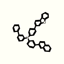 c1ccc(-c2cccc(N(c3ccc(-c4ccc5c(c4)oc4ccccc45)cc3)c3cccc(-c4ccc5ccccc5c4)c3)c2)cc1